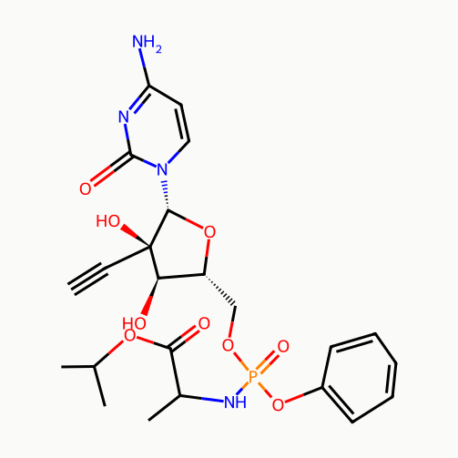 C#C[C@@]1(O)[C@H](O)[C@@H](COP(=O)(NC(C)C(=O)OC(C)C)Oc2ccccc2)O[C@H]1n1ccc(N)nc1=O